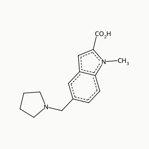 Cn1c(C(=O)O)cc2cc(CN3CCCC3)ccc21